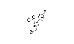 COC(=O)c1sc(CBr)cc1-c1ccc(F)cc1